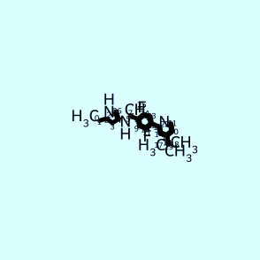 CCC1CC(NC(C)c2cc(F)c(-c3cc(C(C)(C)C)ccn3)cc2F)=CN1